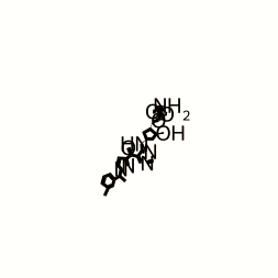 Cc1cccc(C(C)n2ccc(C(=O)c3cncnc3N[C@@H]3C[C@H](COS(N)(=O)=O)[C@@H](O)C3)n2)c1